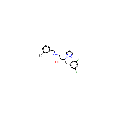 CCc1cccc(CNC[C@@H](O)[C@H](Cc2cc(F)cc(F)c2)n2cccn2)c1